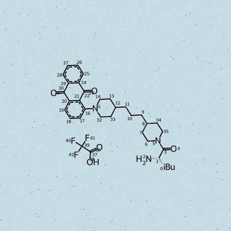 CC[C@@H](C)[C@H](N)C(=O)N1CCC(CCCC2CCN(c3cccc4c3C(=O)c3ccccc3C4=O)CC2)CC1.O=C(O)C(F)(F)F